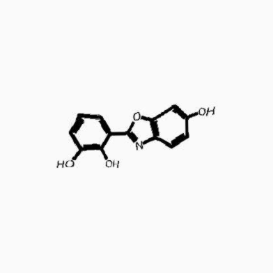 Oc1ccc2nc(-c3cccc(O)c3O)oc2c1